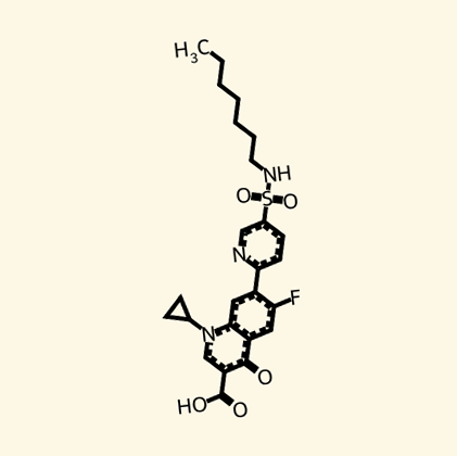 CCCCCCCNS(=O)(=O)c1ccc(-c2cc3c(cc2F)c(=O)c(C(=O)O)cn3C2CC2)nc1